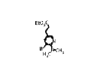 CCOC(=O)CCc1cnc(N(C)C)c(Br)c1